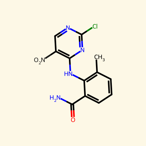 Cc1cccc(C(N)=O)c1Nc1nc(Cl)ncc1[N+](=O)[O-]